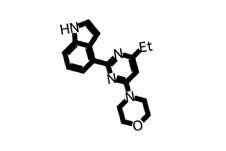 CCc1cc(N2CCOCC2)nc(-c2cccc3[nH]ccc23)n1